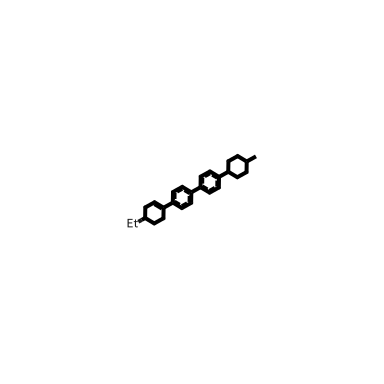 CCC1CC=C(c2ccc(-c3ccc(C4CCC(C)CC4)cc3)cc2)CC1